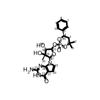 CC1(C)C[C@H](c2ccccc2)OP(=O)(OC2O[C@@H](n3ccc4c(=O)[nH]c(N)nc43)[C@](C)(O)[C@@H]2O)O1